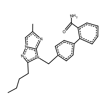 CCCCc1nn2cc(C)nc2n1Cc1ccc(-c2ccccc2C(N)=O)cc1